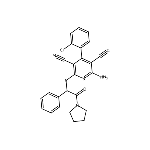 N#Cc1c(N)nc(SC(C(=O)N2CCCC2)c2ccccc2)c(C#N)c1-c1ccccc1Cl